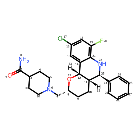 NC(=O)C1CCN(C[C@H]2CC[C@@H]3[C@H](O2)c2cc(Cl)cc(F)c2N[C@H]3c2ccccc2)CC1